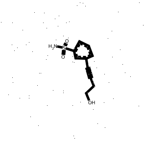 NS(=O)(=O)c1cccc(C#CCCO)c1